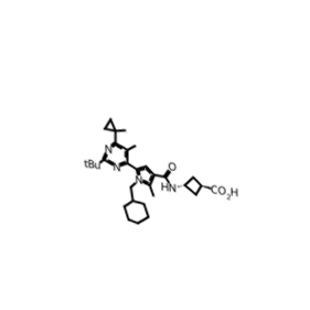 Cc1c(-c2cc(C(=O)N[C@H]3C[C@H](C(=O)O)C3)c(C)n2CC2CCCCC2)nc(C(C)(C)C)nc1C1(C)CC1